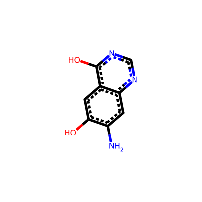 Nc1cc2ncnc(O)c2cc1O